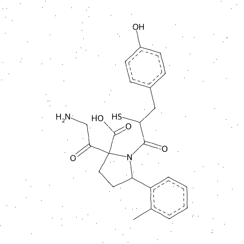 Cc1ccccc1C1CCC(C(=O)O)(C(=O)CN)N1C(=O)C(S)Cc1ccc(O)cc1